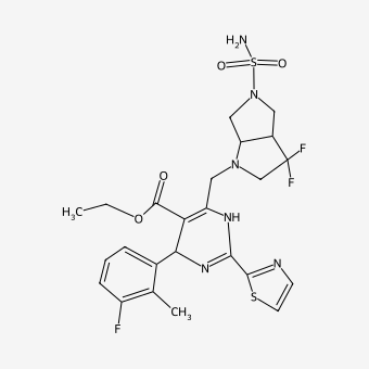 CCOC(=O)C1=C(CN2CC(F)(F)C3CN(S(N)(=O)=O)CC32)NC(c2nccs2)=NC1c1cccc(F)c1C